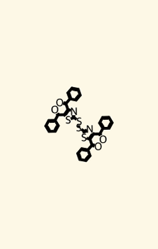 O=C(c1ccccc1)c1nc(SSc2nc(C(=O)c3ccccc3)c(C(=O)c3ccccc3)s2)sc1C(=O)c1ccccc1